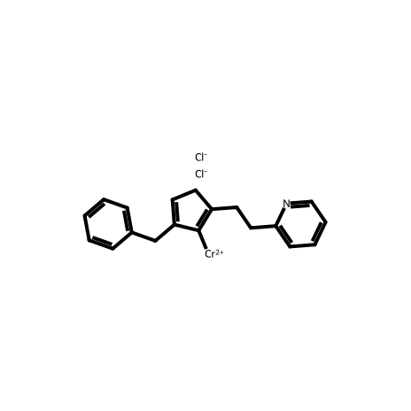 [Cl-].[Cl-].[Cr+2][C]1=C(CCc2ccccn2)CC=C1Cc1ccccc1